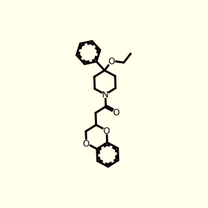 CCOC1(c2ccccc2)CCN(C(=O)CC2COc3ccccc3O2)CC1